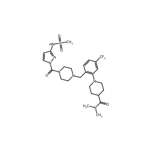 CN(C)C(=O)C1CCN(c2cc(C(F)(F)F)ccc2CN2CCN(C(=O)n3ccc(NS(C)(=O)=O)n3)CC2)CC1